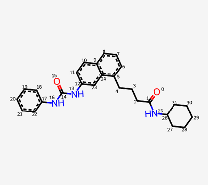 O=C(CCCc1cccc2ccc(NC(=O)Nc3ccccc3)cc12)NC1CCCCC1